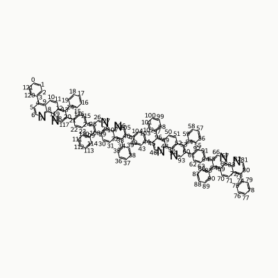 c1ccc(-c2ccnc3c2ccc2c(-c4ccccc4)c(-c4ccc(-c5cnc6c(ccc7c(-c8ccccc8)c(-c8ccc(-c9cnc%10c(ccc%11c(-c%12ccccc%12)c(-c%12ccc(-c%13cnc%14c(ccc%15c(-c%16ccccc%16)ccnc%15%14)c%13-c%13ccccc%13)cc%12)cnc%11%10)c9-c9ccccc9)cc8)cnc76)c5-c5ccccc5)cc4)cnc23)cc1